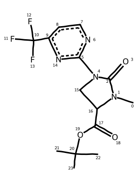 CN1C(=O)N(c2nccc(C(F)(F)F)n2)CC1C(=O)OC(C)(C)C